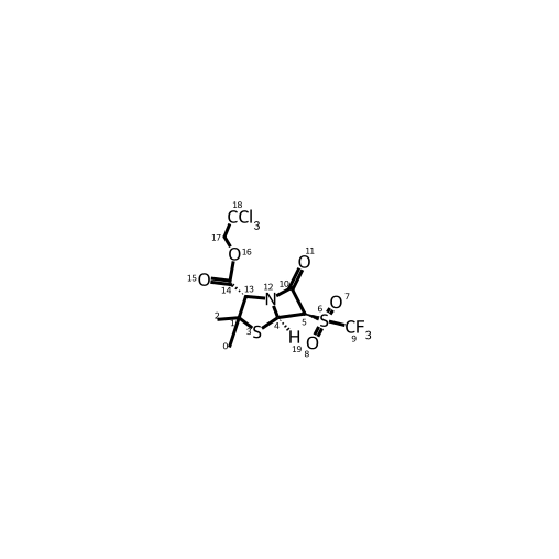 CC1(C)S[C@@H]2[C@H](S(=O)(=O)C(F)(F)F)C(=O)N2[C@H]1C(=O)OCC(Cl)(Cl)Cl